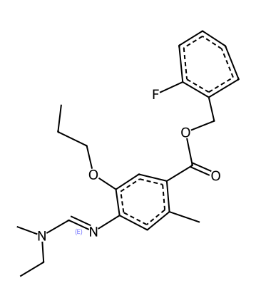 CCCOc1cc(C(=O)OCc2ccccc2F)c(C)cc1/N=C/N(C)CC